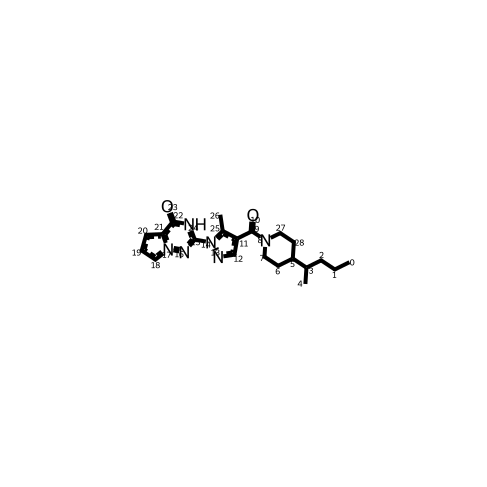 CCCC(C)C1CCN(C(=O)c2cnn(-c3nn4cccc4c(=O)[nH]3)c2C)CC1